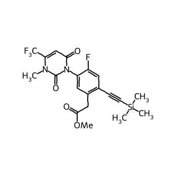 COC(=O)Cc1cc(-n2c(=O)cc(C(F)(F)F)n(C)c2=O)c(F)cc1C#C[Si](C)(C)C